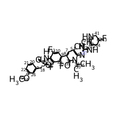 C=N/C(=N\c1c(C)cc(-c2cc(F)c(NS(=O)(=O)Cc3cccc(OC)c3)c(F)c2F)c(=O)n1C(C)C)N[C@@H]1CNC[C@@H](F)C1